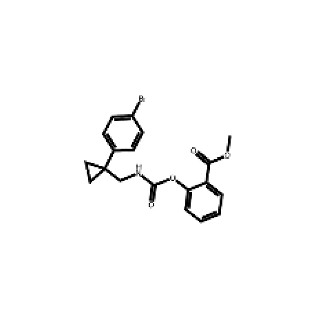 COC(=O)c1ccccc1OC(=O)NCC1(c2ccc(Br)cc2)CC1